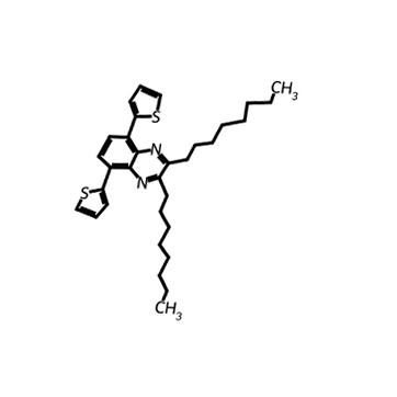 CCCCCCCCc1nc2c(-c3cccs3)ccc(-c3cccs3)c2nc1CCCCCCCC